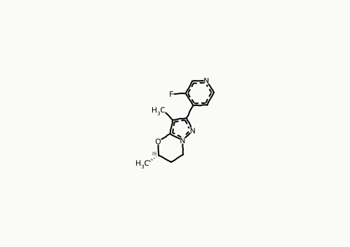 Cc1c(-c2ccncc2F)nn2c1O[C@@H](C)CC2